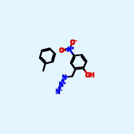 Cc1ccccc1.[N-]=[N+]=NCc1cc([N+](=O)[O-])ccc1O